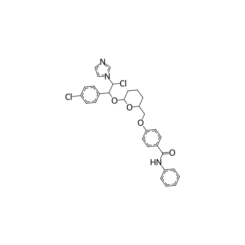 O=C(Nc1ccccc1)c1ccc(OCC2CCCC(OC(c3ccc(Cl)cc3)C(Cl)n3ccnc3)O2)cc1